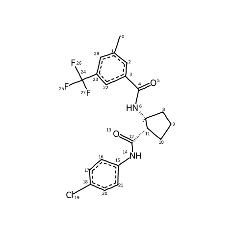 Cc1cc(C(=O)N[C@@H]2CCC[C@@H]2C(=O)Nc2ccc(Cl)cc2)cc(C(F)(F)F)c1